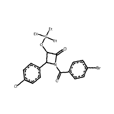 CC[Si](CC)(CC)OC1C(=O)N(C(=O)c2ccc(Br)cc2)C1c1ccc(Cl)cc1